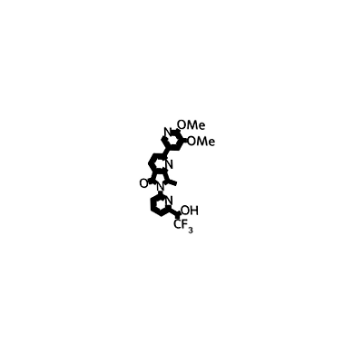 COc1cc(-c2ccc3c(n2)C(C)N(c2cccc(C(O)C(F)(F)F)n2)C3=O)cnc1OC